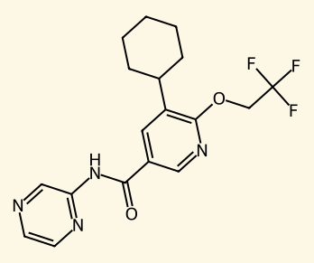 O=C(Nc1cnccn1)c1cnc(OCC(F)(F)F)c(C2CCCCC2)c1